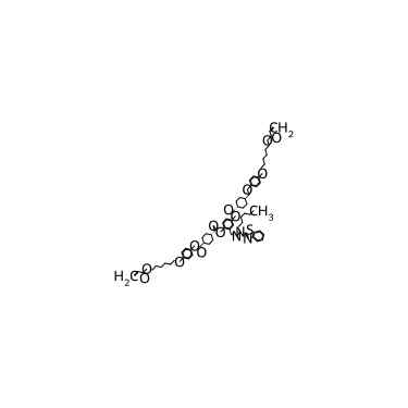 C=CC(=O)OCCCCCCOc1ccc(OC[C@H]2CC[C@H](C(=O)Oc3ccc(OC(=O)[C@H]4CC[C@H](C(=O)Oc5ccc(OCCCCCCOC(=O)C=C)cc5)CC4)c(/C=N\N(CCCCCC)c4nc5ccccc5s4)c3)CC2)cc1